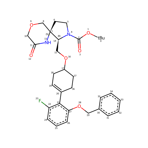 CC(C)(C)OC(=O)N1CC[C@@]2(COCC(=O)N2)[C@@H]1COC1CC=C(c2c(F)cccc2OCc2ccccc2)CC1